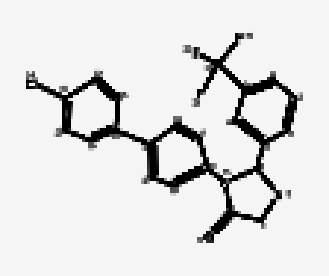 O=C1CSC(c2cccc(C(F)(F)F)c2)N1c1ccc(-c2ccc(Cl)cc2)cc1